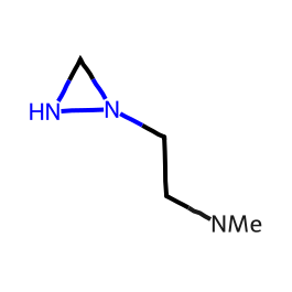 CNCCN1CN1